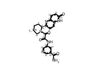 C[C@@H]1CC[C@@H](c2ccc3[nH]c(=O)ccc3n2)N(C(=O)C(=O)Nc2cncc(C(N)=O)c2)C1